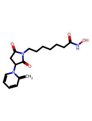 C=C1C=CC=CN1C1CC(=O)N(CCCCCCC(=O)NO)C1=O